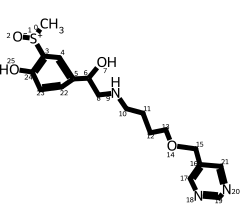 C[S+]([O-])c1cc(C(O)CNCCCCOCc2cncnc2)ccc1O